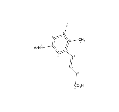 CC(=O)Nc1cc(F)c(C)c(/C=C/CC(=O)O)c1